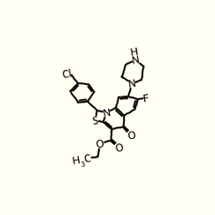 CCOC(=O)c1c2n(c3cc(N4CCNCC4)c(F)cc3c1=O)C(c1ccc(Cl)cc1)S2